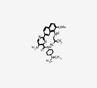 COc1ccc2ccc(-c3ncc(N)c(C(=O)N[C@H]4CC[C@@H](N(C)C)CC4)n3)cc2c1NCC(C)C#N